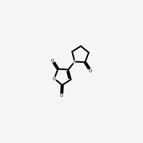 O=C1C=C(N2CCCC2=O)C(=O)O1